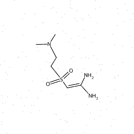 CN(C)CCS(=O)(=O)C=C(N)N